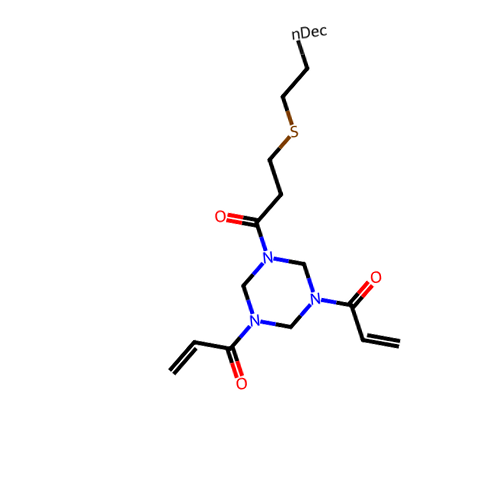 C=CC(=O)N1CN(C(=O)C=C)CN(C(=O)CCSCCCCCCCCCCCC)C1